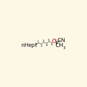 CCCCCCCCCCCCCOC(C)C#N